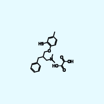 Cc1ccc(OCC(Cc2ccccc2)CN(C)C)c(S)c1.O=C(O)C(=O)O